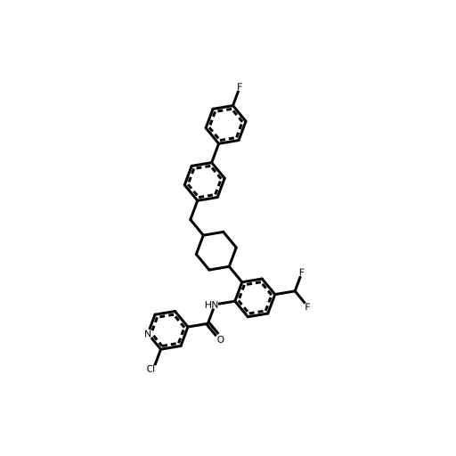 O=C(Nc1ccc(C(F)F)cc1C1CCC(Cc2ccc(-c3ccc(F)cc3)cc2)CC1)c1ccnc(Cl)c1